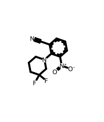 N#Cc1cccc([N+](=O)[O-])c1N1CCCC(F)(F)C1